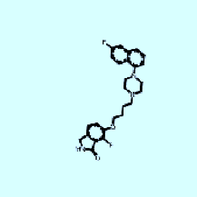 O=C1NCc2ccc(OCCCCN3CCN(c4cccc5cc(F)ccc45)CC3)c(F)c21